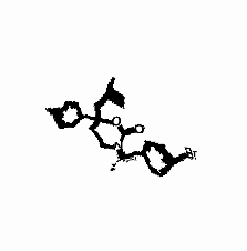 C=C(C)CC1(c2ccccc2)CCN([C@@H](C)c2ccc(Br)cc2)C(=O)O1